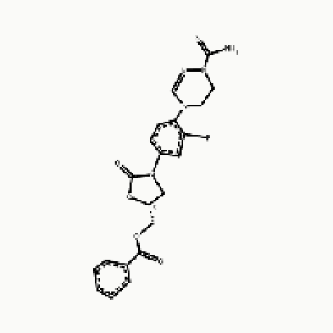 NC(=S)N1CCN(c2ccc(N3C[C@H](COC(=O)c4ccccc4)OC3=O)cc2F)C=N1